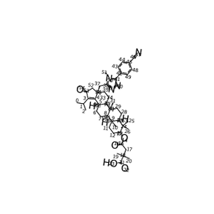 CC(C)C1=C2[C@H]3CC[C@@H]4[C@@]5(C)CC[C@H](OC(=O)CC(C)(C)C(=O)O)C(C)(C)[C@@H]5CC[C@@]4(C)[C@]3(C)CC[C@@]2(Cc2nnc(-c3ccc(C#N)cc3)n2C)CC1=O